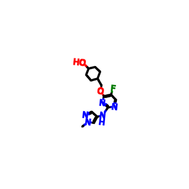 Cn1cc(Nc2ncc(F)c(OCC3CCC(O)CC3)n2)cn1